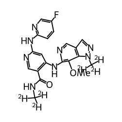 [2H]C([2H])([2H])NC(=O)c1cnc(Nc2ccc(F)cn2)cc1Nc1ncc2cnn(C([2H])([2H])[2H])c2c1OC